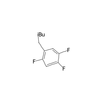 CCC(C)Cc1cc(F)c(F)cc1F